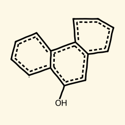 Oc1cc2ccccc2c2ccc[c]c12